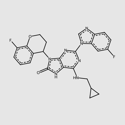 O=c1[nH]c2c(NCC3CC3)nc(-n3cnc4ccc(F)cc43)nc2n1C1CCOc2c(F)cccc21